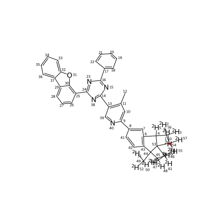 [2H]C([2H])([2H])C1([2H])c2cc(-c3cc(C)c(-c4nc(-c5ccccc5)nc(-c5cccc6c5oc5ccccc56)n4)cn3)ccc2C(C([2H])([2H])[2H])(C([2H])([2H])[2H])C1(C([2H])([2H])[2H])C([2H])([2H])[2H]